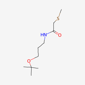 CSCC(=O)NCCCOC(C)(C)C